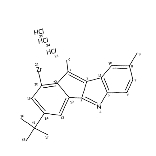 CC1=C2C(=Nc3ccc(C)cc32)c2cc(C(C)(C)C)c[c]([Zr])c21.Cl.Cl.Cl